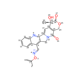 C=C(C)O/N=C/c1c2c(nc3ccccc13)-c1cc3c(c(=O)n1C2)COC(=O)[C@]3(O)CC